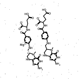 CN1c2c(nc(N)[nH]c2=O)NCC1CNc1ccc(C(=O)NC(CCC(=O)O)C(=O)[O-])cc1.CN1c2c(nc(N)[nH]c2=O)NC[C@@H]1CNc1ccc(C(=O)NC(CCC(=O)O)C(=O)[O-])cc1.[Mg+2]